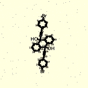 OC1(C#Cc2ccc(Br)cc2)c2ccccc2C(O)(C#Cc2ccc(Br)cc2)c2ccccc21